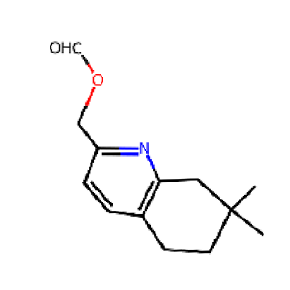 CC1(C)CCc2ccc(COC=O)nc2C1